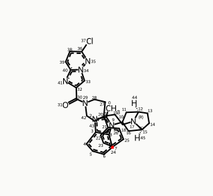 Cc1nc2ccccc2n1C1C[C@H]2CC[C@@H](C1)N2CCC1(c2ccccc2)CCN(C(=O)c2cn3nc(Cl)ccc3n2)CC1